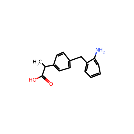 CC(C(=O)O)c1ccc(Cc2ccccc2N)cc1